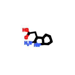 Nc1[nH]c2ccccc2c1CC(=O)O